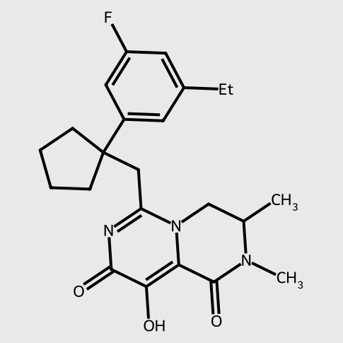 CCc1cc(F)cc(C2(Cc3nc(=O)c(O)c4n3CC(C)N(C)C4=O)CCCC2)c1